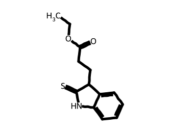 CCOC(=O)CCC1C(=S)Nc2ccccc21